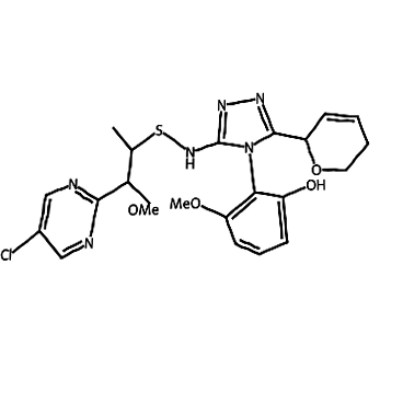 COc1cccc(O)c1-n1c(NSC(C)C(OC)c2ncc(Cl)cn2)nnc1C1C=CCCO1